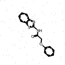 O=C(COc1ccccc1)Nc1nc2ccccc2s1